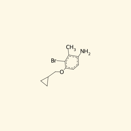 Cc1c(N)ccc(OCC2CC2)c1Br